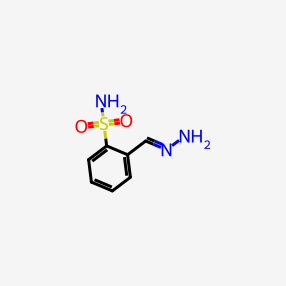 NN=Cc1ccccc1S(N)(=O)=O